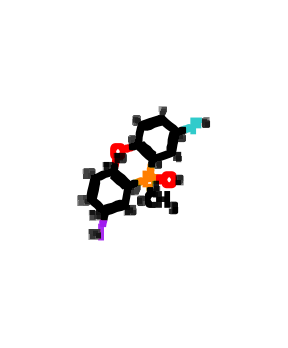 CP1(=O)c2cc(F)ccc2Oc2ccc(I)cc21